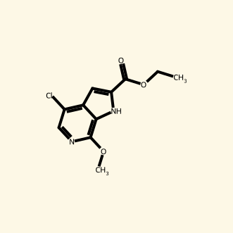 CCOC(=O)c1cc2c(Cl)cnc(OC)c2[nH]1